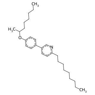 CCCCCCCCCc1ccc(-c2ccc(OC(C)CCCCCC)cc2)cn1